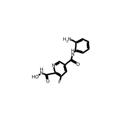 Nc1ccccc1NC(=O)c1cnc(C(=O)NO)c(F)c1